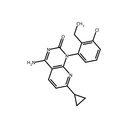 CCc1c(Cl)cccc1-n1c(=O)nc(N)c2ccc(C3CC3)nc21